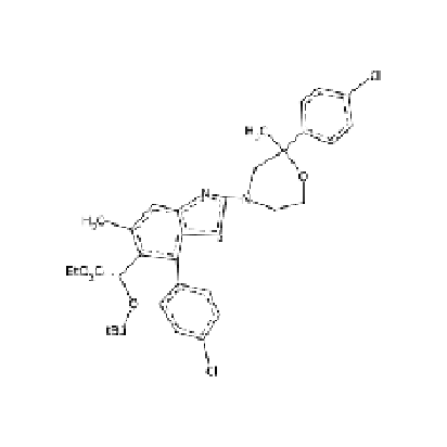 CCOC(=O)[C@@H](OC(C)(C)C)c1c(C)cc2nc(N3CCOC(C)(c4ccc(Cl)cc4)C3)sc2c1-c1ccc(Cl)cc1